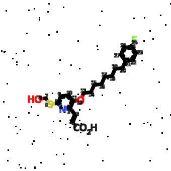 O=C(O)C=Cc1nc(SCO)ccc1OCCCCCCCCc1ccc(F)cc1